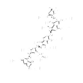 Cc1cc(N=Nc2c(S(=O)(=O)O)cc3c(S(=O)(=O)O)c(N=Nc4cc(S(=O)(=O)O)c5cc(S(=O)(=O)O)c(N=Nc6ccc([N+](=O)[O-])cc6S(=O)(=O)O)c(O)c5c4N)ccc3c2O)c(OCCCS(=O)(=O)O)cc1N=Nc1cc(S(=O)(=O)O)cc2cc(S(=O)(=O)O)cc(S(=O)(=O)O)c12